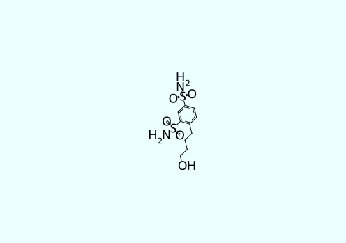 NS(=O)(=O)c1ccc(CCCCO)c(S(N)(=O)=O)c1